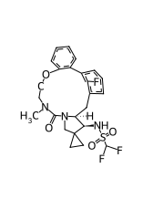 CN1CCOc2ccccc2-c2cccc(c2F)C[C@H]2[C@@H](NS(=O)(=O)C(F)F)C3(CC3)CN2C1=O